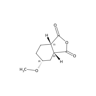 CO[C@@H]1CC[C@@H]2C(=O)OC(=O)[C@@H]2C1